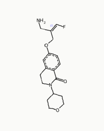 NC/C(=C/F)COc1ccc2c(c1)CCN(C1CCOCC1)C2=O